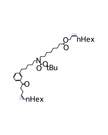 CCCCCC/C=C\CCC(=O)c1cccc(CCCCCN(CCCCCCCC(=O)OC/C=C\CCCCCC)C(=O)OC(C)(C)C)c1